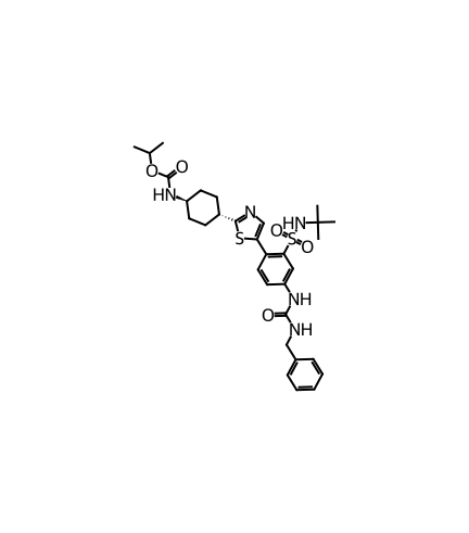 CC(C)OC(=O)N[C@H]1CC[C@H](c2ncc(-c3ccc(NC(=O)NCc4ccccc4)cc3S(=O)(=O)NC(C)(C)C)s2)CC1